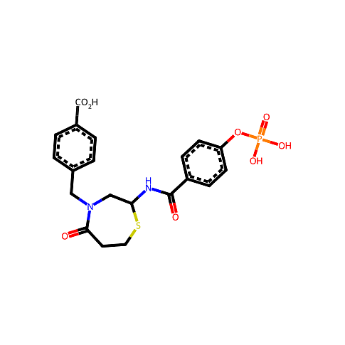 O=C(O)c1ccc(CN2CC(NC(=O)c3ccc(OP(=O)(O)O)cc3)SCCC2=O)cc1